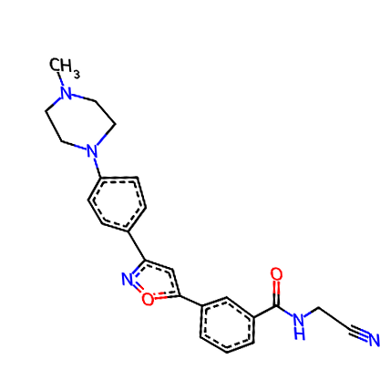 CN1CCN(c2ccc(-c3cc(-c4cccc(C(=O)NCC#N)c4)on3)cc2)CC1